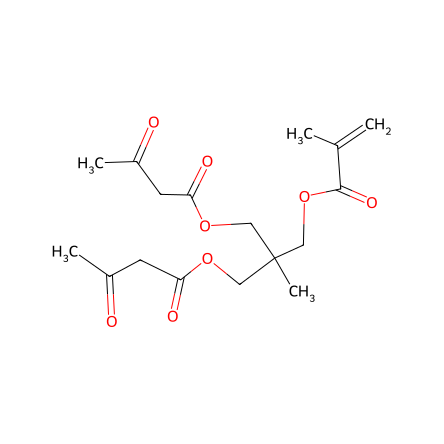 C=C(C)C(=O)OCC(C)(COC(=O)CC(C)=O)COC(=O)CC(C)=O